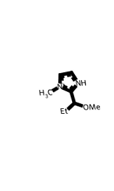 CCC(OC)c1[nH]cc[n+]1C